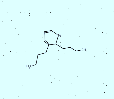 CCCCC1=CC=C[Te]C1CCCC